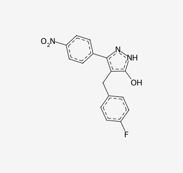 O=[N+]([O-])c1ccc(-c2n[nH]c(O)c2Cc2ccc(F)cc2)cc1